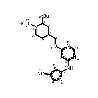 CC(C)(C)C1CC(COc2cc(Nc3ncc(C#N)s3)ncn2)CCN1C(=O)O